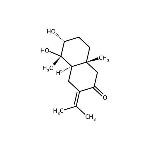 CC(C)=C1C[C@@H]2[C@](C)(CC[C@@H](O)[C@@]2(C)O)CC1=O